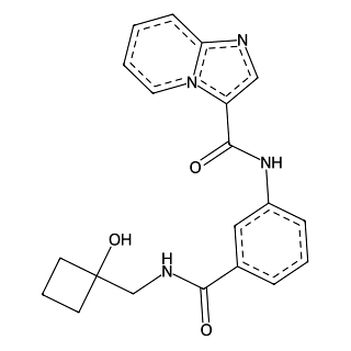 O=C(NCC1(O)CCC1)c1cccc(NC(=O)c2cnc3ccccn23)c1